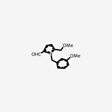 COCc1ccc(C=O)n1Cc1cccc(OC)c1